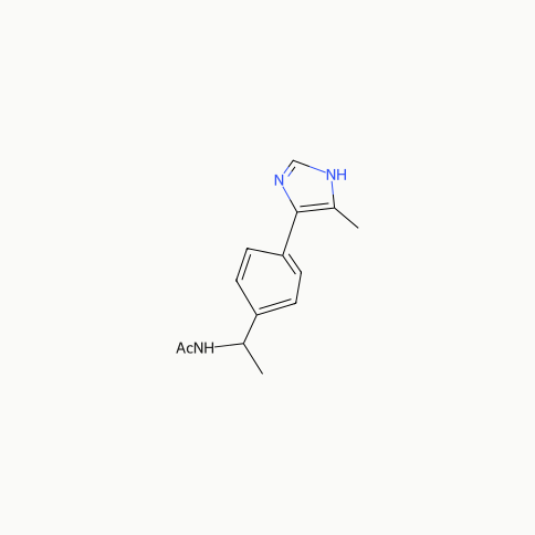 CC(=O)NC(C)c1ccc(-c2nc[nH]c2C)cc1